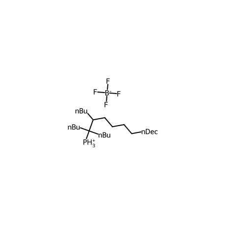 CCCCCCCCCCCCCCC(CCCC)C([PH3+])(CCCC)CCCC.F[B-](F)(F)F